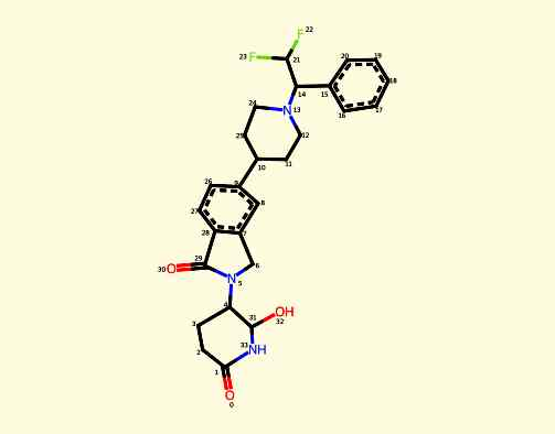 O=C1CCC(N2Cc3cc(C4CCN(C(c5ccccc5)C(F)F)CC4)ccc3C2=O)C(O)N1